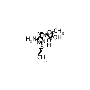 CCCCSc1nc(N)c2ncn([C@@H]3O[C@H](C)[C@@H](O)[C@H]3O)c2n1